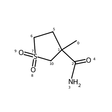 CC1(C(N)=O)CCS(=O)(=O)C1